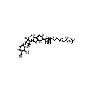 CC(C)(C)OC(=O)COCCCCn1cc(-c2ccc3c(c2)CN(C2C(C)(C)C(Oc4ccc(C#N)c(Cl)c4)C2(C)C)C3=O)nn1